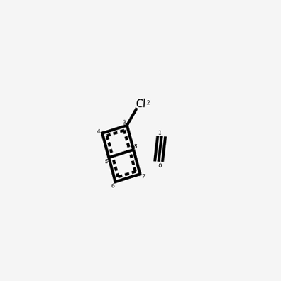 C#C.Clc1cc2ccc1-2